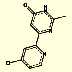 Cc1nc(-c2cc(Cl)ccn2)cc(=O)[nH]1